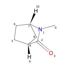 CN1C(=O)[C@@H]2CC[C@H]1C2